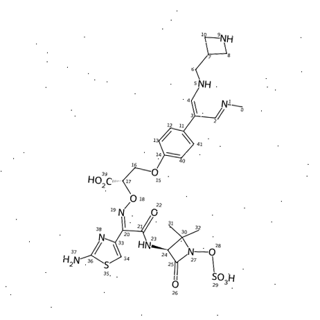 C/N=C/C(=C\NCC1CNC1)c1ccc(OC[C@H](O/N=C(\C(=O)N[C@@H]2C(=O)N(OS(=O)(=O)O)C2(C)C)c2csc(N)n2)C(=O)O)cc1